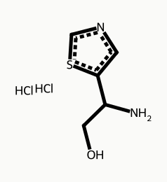 Cl.Cl.NC(CO)c1cncs1